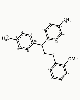 COc1c[c]ccc1CCC(c1ccc(C)cc1)c1ccc(C)cc1